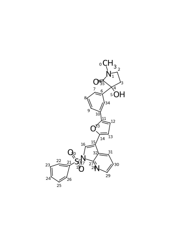 CN1CCC(O)(c2cccc(-c3ccc(-c4cn(S(=O)(=O)c5ccccc5)c5ncccc45)o3)c2)C1=O